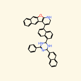 C1=C(c2cccc3c(C4NC(c5ccccc5)=NC(c5ccc6ccccc6c5)N4)cccc23)c2c(oc3cc4ccccc4cc23)NC1